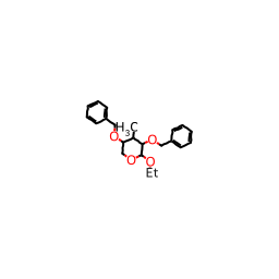 CCOC1OCC(OCc2ccccc2)C(C)C1OCc1ccccc1